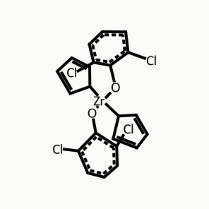 Clc1cccc(Cl)c1[O][Zr]([O]c1c(Cl)cccc1Cl)([CH]1C=CC=C1)[CH]1C=CC=C1